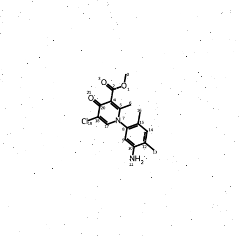 COC(=O)c1c(C)n(-c2cc(N)c(C)cc2C)cc(Cl)c1=O